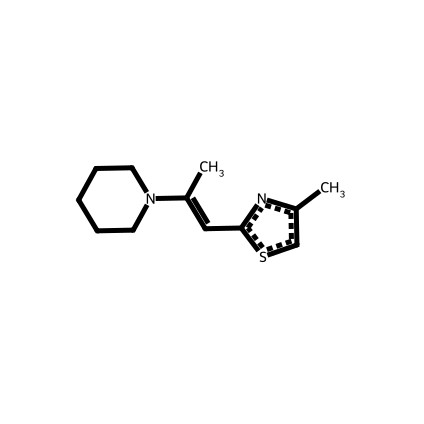 C/C(=C\c1nc(C)cs1)N1CCCCC1